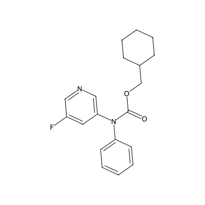 O=C(OCC1CCCCC1)N(c1ccccc1)c1cncc(F)c1